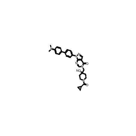 CN(C)c1ccc(-c2ccc(-n3ncc4c(=O)n(CC5(O)CCN(C(=O)C6CC6)CC5)cnc43)cc2)cc1